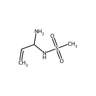 C=CC(N)NS(C)(=O)=O